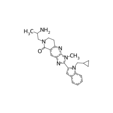 CC(N)CN1CCc2nc3c(cc2C1=O)nc(-c1cc2ccccc2n1CC1CC1)n3C